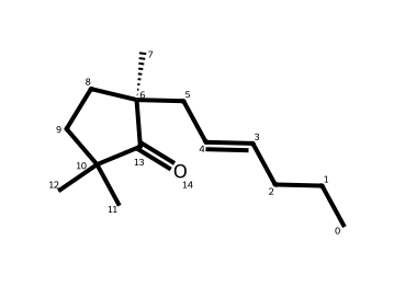 CCC/C=C/C[C@]1(C)CCC(C)(C)C1=O